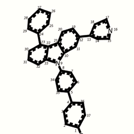 Brc1ccc(-c2ccc(-n3c4cc(-c5ccncc5)ccc4c4c(-c5ccccc5)cccc43)cc2)cc1